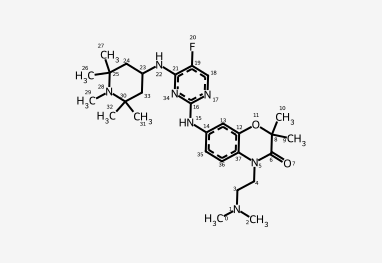 CN(C)CCN1C(=O)C(C)(C)Oc2cc(Nc3ncc(F)c(NC4CC(C)(C)N(C)C(C)(C)C4)n3)ccc21